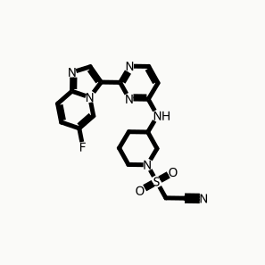 N#CCS(=O)(=O)N1CCCC(Nc2ccnc(-c3cnc4ccc(F)cn34)n2)C1